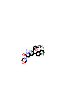 Cc1ccc(-c2nc3[nH]c(=O)c(N4CCOCC4)cc3cc2-c2ccc3ncccc3c2)o1